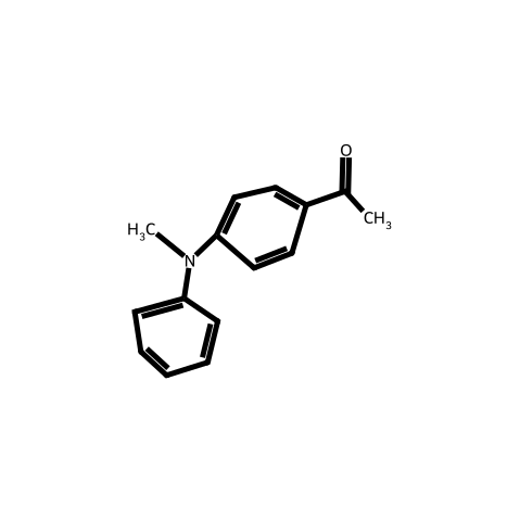 CC(=O)c1ccc(N(C)c2ccccc2)cc1